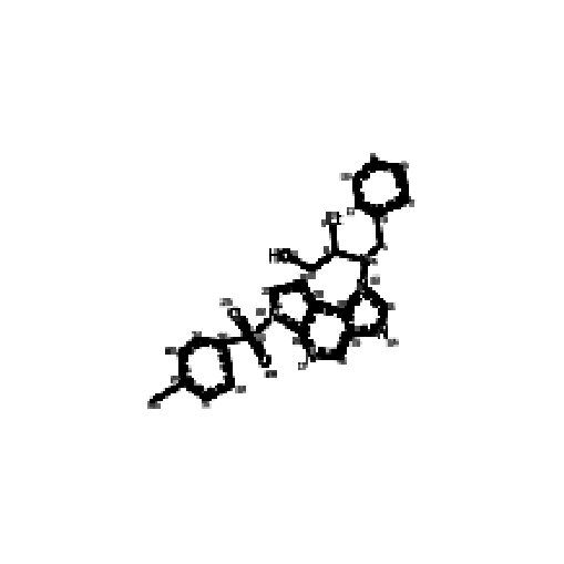 CCC(CO)N(Cc1ccccc1)n1cnc2cnc3c(ccn3S(=O)(=O)c3ccc(C)cc3)c21